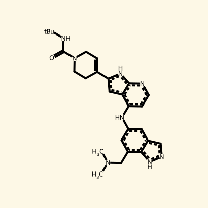 CN(C)Cc1cc(Nc2ccnc3[nH]c(C4=CCN(C(=O)NC(C)(C)C)CC4)cc23)cc2cn[nH]c12